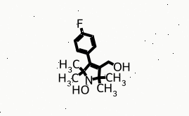 CC1(C)C(CO)=C(c2ccc(F)cc2)C(C)(C)N1O